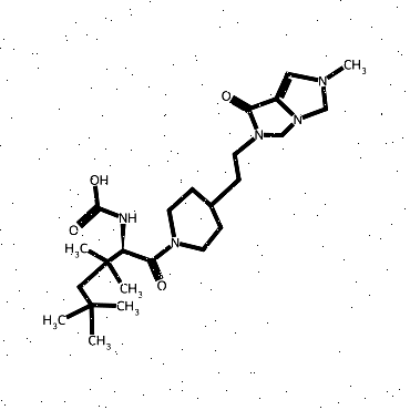 CN1C=C2C(=O)N(CCC3CCN(C(=O)[C@H](NC(=O)O)C(C)(C)CC(C)(C)C)CC3)CN2C1